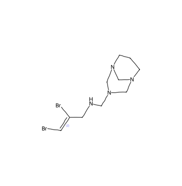 Br/C=C(\Br)CNCN1CN2CCCN(C2)C1